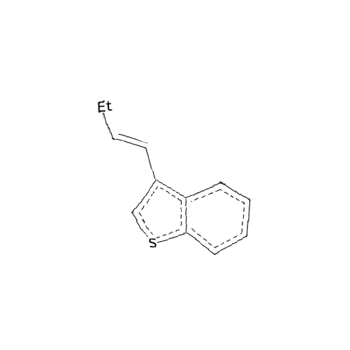 CC/C=C/c1csc2ccccc12